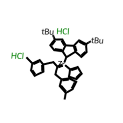 Cc1cccc(C[C](Cc2cccc(C)c2)=[Zr]([C]2=CC=CC2)[CH]2c3ccc(C(C)(C)C)cc3-c3cc(C(C)(C)C)ccc32)c1.Cl.Cl